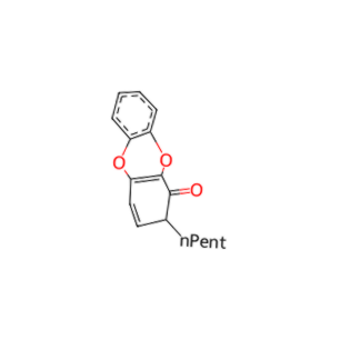 CCCCCC1C=CC2=C(Oc3ccccc3O2)C1=O